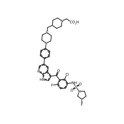 O=C(O)CN1CCC(CN2CCN(c3ccc(-c4cnc5[nH]cc(C(=O)c6c(F)ccc(NS(=O)(=O)N7CC[C@@H](F)C7)c6Cl)c5c4)cc3)CC2)CC1